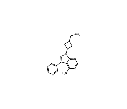 NCC1CC(n2cc(-c3cccnc3)c3c(N)ncnc32)C1